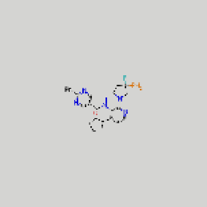 CC(C)c1ncc(C(=O)Nc2c(C3CCCC3)ccnc2N2CCC(F)(P)C2)cn1